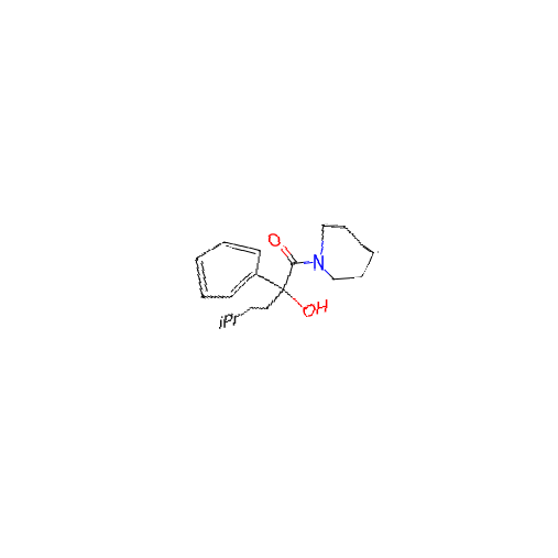 CC(C)CC(O)(C(=O)N1CC[CH]CC1)c1ccccc1